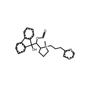 C[N+]1(CCCc2cnccn2)CCCC1C(OC=O)C1(O)c2ccccc2-c2ccccc21